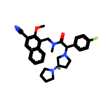 COc1c(C#N)cc2ccccc2c1CN(C)C(=O)C(c1ccc(F)cc1)N1CC[C@H](N2CCCC2)C1